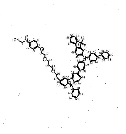 CC(C)CN(C)c1ccc(OCCOCCCOCCc2ccc3c(c2)c2cc(-c4ccc(N(c5ccc(-c6ccccc6)cc5)c5ccc6c(c5)C(C)(C)c5ccccc5-6)cc4)ccc2n3-c2ccccc2)cc1